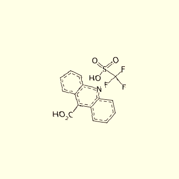 O=C(O)c1c2ccccc2nc2ccccc12.O=S(=O)(O)C(F)(F)F